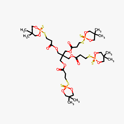 CC1(C)COP(=S)(SCCC(=O)OCC(COC(=O)CCSP2(=S)OCC(C)(C)CO2)(COC(=O)CCSP2(=S)OCC(C)(C)CO2)COC(=O)CCSP2(=S)OCC(C)(C)CO2)OC1